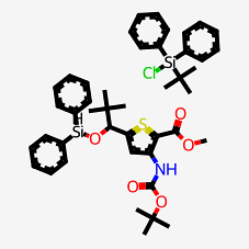 CC(C)(C)[Si](Cl)(c1ccccc1)c1ccccc1.COC(=O)c1sc(C(O[SiH](c2ccccc2)c2ccccc2)C(C)(C)C)cc1NC(=O)OC(C)(C)C